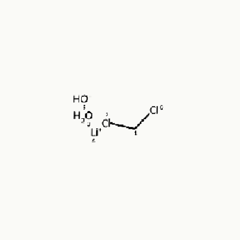 ClCCl.O.[Li+].[OH-]